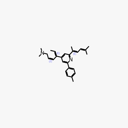 C/C=C(\C=C/CN(C)C)c1cc(/C(C)=C/C=C(C)C)nc(-c2ccc(C)cc2)c1